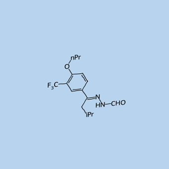 CCCOc1ccc(/C(CC(C)C)=N/NC=O)cc1C(F)(F)F